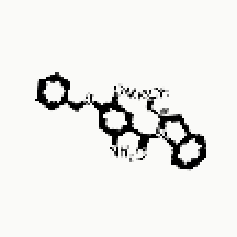 COc1cc(C(=O)N2c3ccccc3C[C@@H]2CO)c(N)cc1OCc1ccccc1